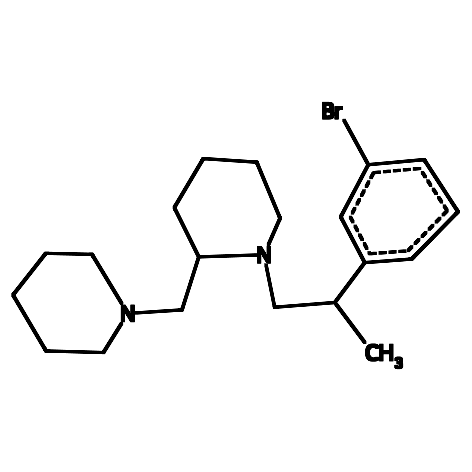 CC(CN1CCCCC1CN1CCCCC1)c1cccc(Br)c1